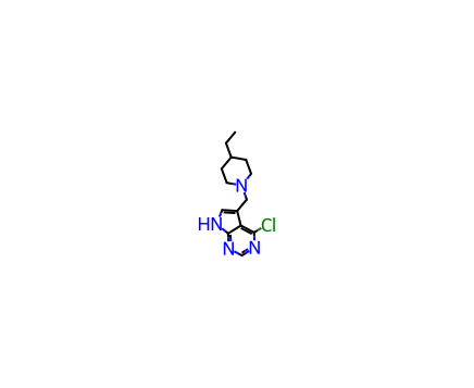 CCC1CCN(Cc2c[nH]c3ncnc(Cl)c23)CC1